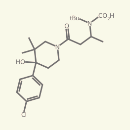 CC(CC(=O)N1CCC(O)(c2ccc(Cl)cc2)C(C)(C)C1)N(C(=O)O)C(C)(C)C